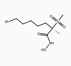 CC(C)CCCCC[C@](C)(C(=O)NO)S(C)(=O)=O